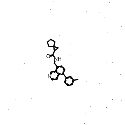 Cc1cccc(-c2ccc(CNC(=O)C3CC34CCCC4)c3cnccc23)c1